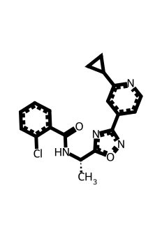 C[C@H](NC(=O)c1ccccc1Cl)c1nc(-c2ccnc(C3CC3)c2)no1